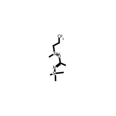 CC(=N[Si](C)(C)C)O[SiH](C)CCC(F)(F)F